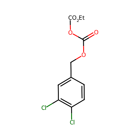 CCOC(=O)OC(=O)OCc1ccc(Cl)c(Cl)c1